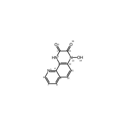 O=c1[nH]c2c3ncccc3ccc2n(O)c1=O